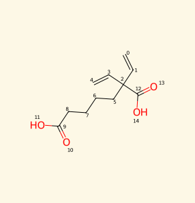 C=CC(C=C)(CCCCC(=O)O)C(=O)O